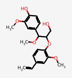 C=Cc1ccc(OC(CO)C(OC)c2ccc(O)c(OC)c2)c(OC)c1